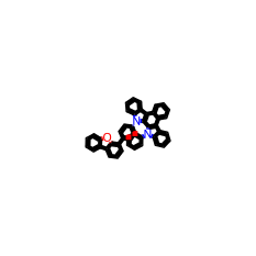 c1ccc(-n2c3ccccc3c3c4ccccc4c4c5ccccc5n(-c5ccc(-c6cccc7c6oc6ccccc67)cc5)c4c32)cc1